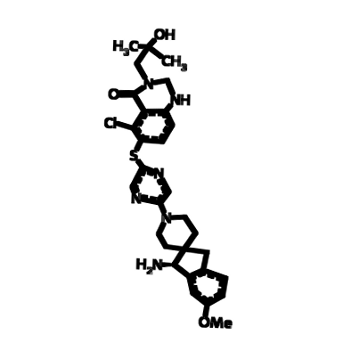 COc1ccc2c(c1)[C@@H](N)C1(CCN(c3cnc(Sc4ccc5c(c4Cl)C(=O)N(CC(C)(C)O)CN5)cn3)CC1)C2